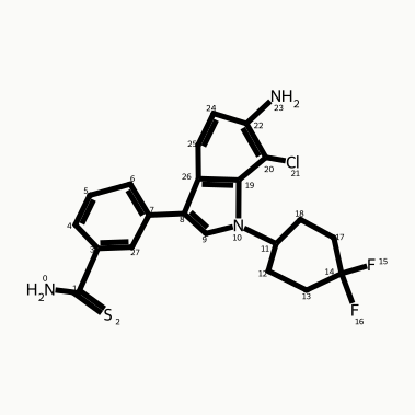 NC(=S)c1cccc(-c2cn(C3CCC(F)(F)CC3)c3c(Cl)c(N)ccc23)c1